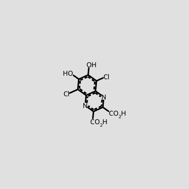 O=C(O)c1nc2c(Cl)c(O)c(O)c(Cl)c2nc1C(=O)O